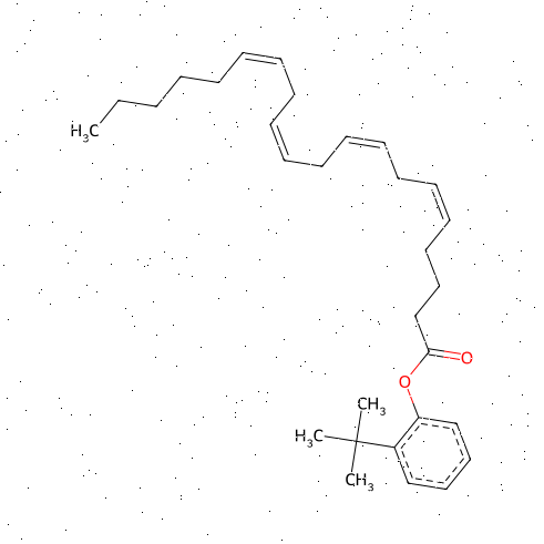 CCCCC/C=C\C/C=C\C/C=C\C/C=C\CCCC(=O)Oc1ccccc1C(C)(C)C